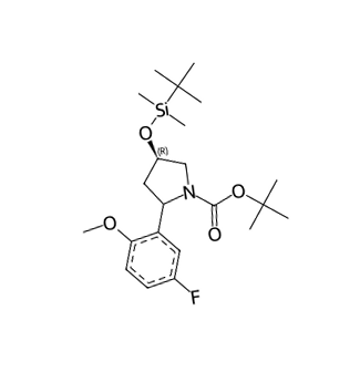 COc1ccc(F)cc1C1C[C@@H](O[Si](C)(C)C(C)(C)C)CN1C(=O)OC(C)(C)C